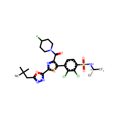 CC[C@H](NS(=O)(=O)c1ccc(-c2sc(-c3nnc(CC(C)(C)C#N)o3)nc2C(=O)N2CCC(F)CC2)c(Cl)c1Cl)C(F)(F)F